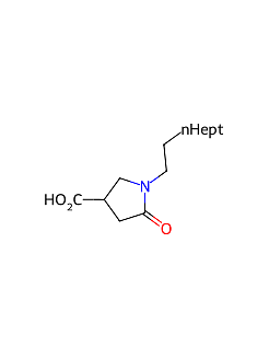 CCCCCCCCCN1CC(C(=O)O)CC1=O